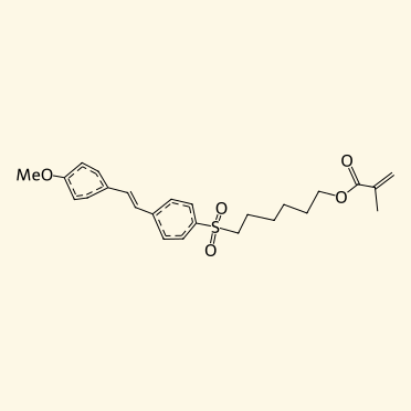 C=C(C)C(=O)OCCCCCCS(=O)(=O)c1ccc(C=Cc2ccc(OC)cc2)cc1